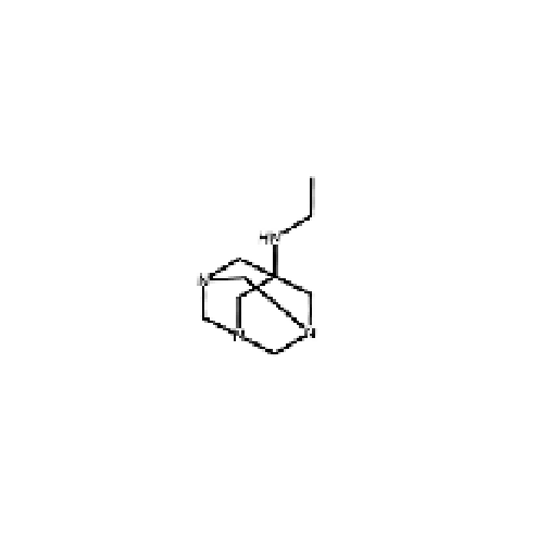 CCNC12CN3CN(CN(C3)C1)C2